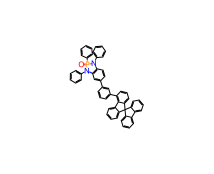 O=P1(c2ccccc2)N(c2ccccc2)c2ccc(-c3cccc(-c4cccc5c4-c4ccccc4C54c5ccccc5-c5ccccc54)c3)cc2N1c1ccccc1